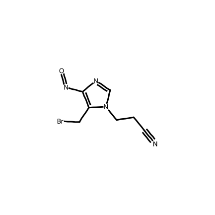 N#CCCn1cnc(N=O)c1CBr